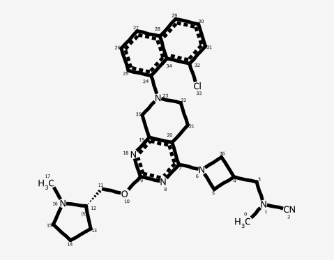 CN(C#N)CC1CN(c2nc(OC[C@@H]3CCCN3C)nc3c2CCN(c2cccc4cccc(Cl)c24)C3)C1